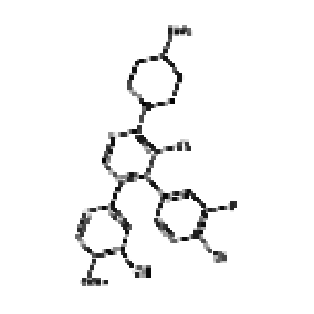 CNC1CCN(c2ncc(-c3ccc(OC)c(O)c3)c(-c3ccc(C#N)c(F)c3)c2C#N)CC1